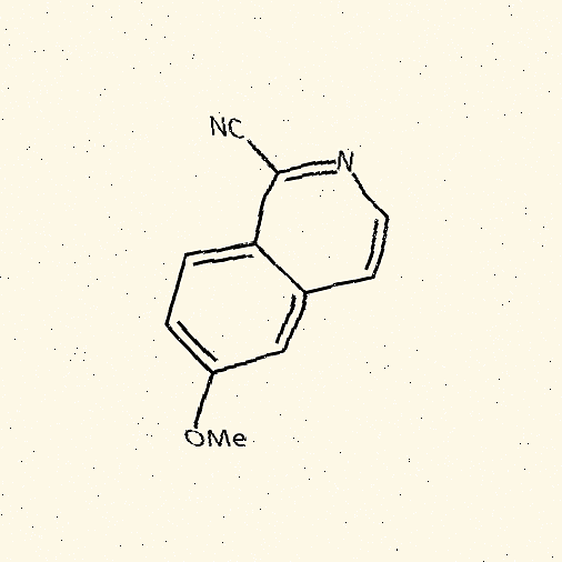 COc1ccc2c(C#N)nccc2c1